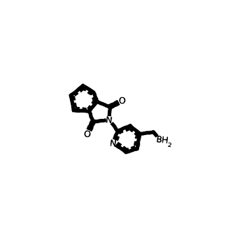 BCc1ccnc(N2C(=O)c3ccccc3C2=O)c1